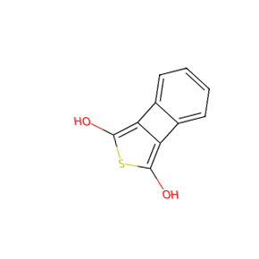 Oc1sc(O)c2c1-c1ccccc1-2